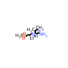 CCc1nc2c(N)nc(C)c(C)c2n1CCCCS(C)(=O)=O